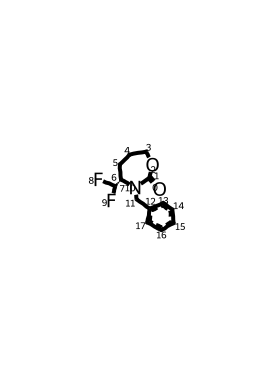 O=C1OCCC[C@@H](C(F)F)N1Cc1ccccc1